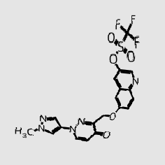 Cn1cc(-n2ccc(=O)c(COc3ccc4ncc(OS(=O)(=O)C(F)(F)F)cc4c3)n2)cn1